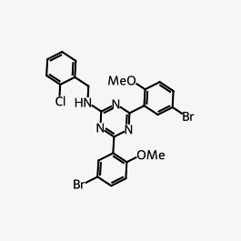 COc1ccc(Br)cc1-c1nc(NCc2ccccc2Cl)nc(-c2cc(Br)ccc2OC)n1